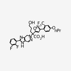 CCCOc1ccc(-c2cc(C(CCCO)(C(=O)O)N3Cc4nc(-c5cccc(F)c5F)[nH]c4C=N3)on2)c(C(F)(F)F)c1